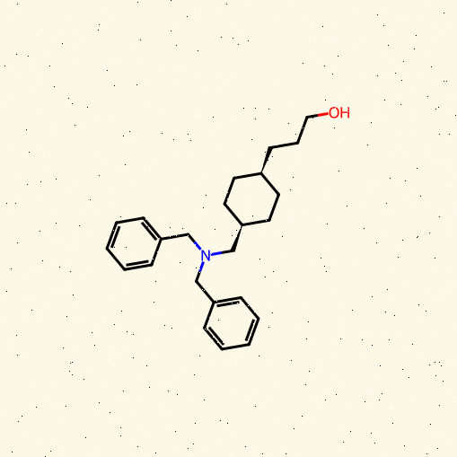 OCCC[C@H]1CC[C@@H](CN(Cc2ccccc2)Cc2ccccc2)CC1